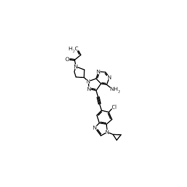 C=CC(=O)N1CCC(n2nc(C#Cc3cc4ncn(C5CC5)c4cc3Cl)c3c(N)ncnc32)C1